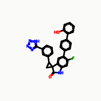 O=C1Nc2cc(F)c(-c3ccc(-c4ccccc4O)cc3)cc2C12CC2c1cccc(-c2nnn[nH]2)c1